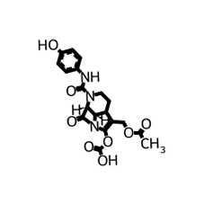 CC(=O)OCC1=C(OC(=O)O)N2C(=O)[C@@H]3[C@H]2C1CCN3C(=O)Nc1ccc(O)cc1